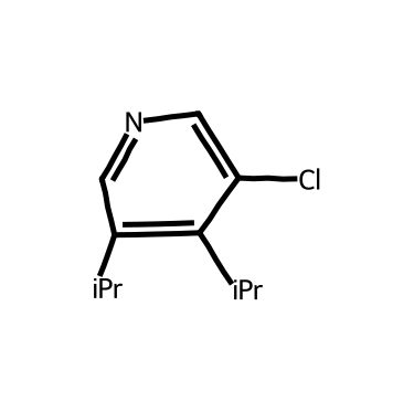 CC(C)c1cncc(Cl)c1C(C)C